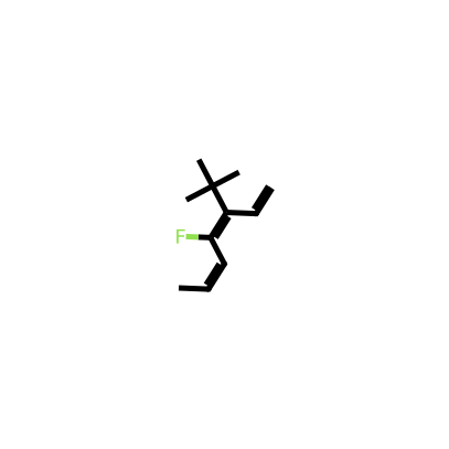 C=C/C(=C(F)\C=C/C)C(C)(C)C